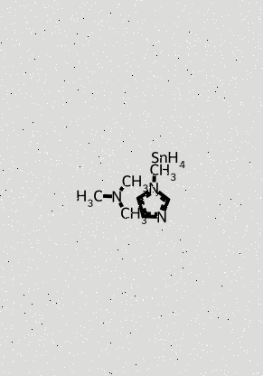 CN(C)C.Cn1ccnc1.[SnH4]